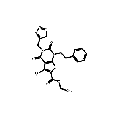 CCOC(=O)c1sc2c(c1C)c(=O)n(CC1=NN=NC1)c(=O)n2CCc1ccccc1